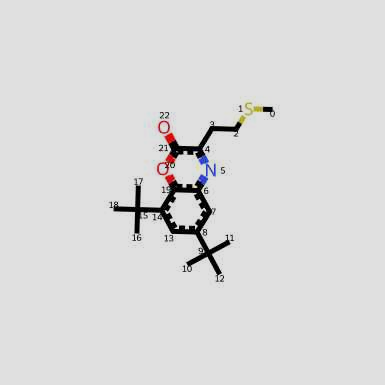 CSCCc1nc2cc(C(C)(C)C)cc(C(C)(C)C)c2oc1=O